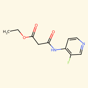 CCOC(=O)CC(=O)Nc1ccncc1F